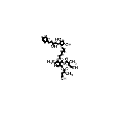 C#CCC(C)C(=O)OCc1cnc(C)c(OC(=O)CCC/C=C\C[C@@H]2[C@@H](CCC(O)CCc3ccccc3)[C@H](O)C[C@@H]2O)c1COC(=O)C(C)CC#C